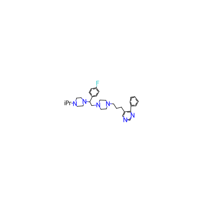 CC(C)N1CCN(C(CN2CCN(CCCc3cncnc3-c3ccccc3)CC2)c2ccc(F)cc2)CC1